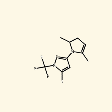 CC1=CCC(C)N1c1cc(I)n(C(F)(F)F)n1